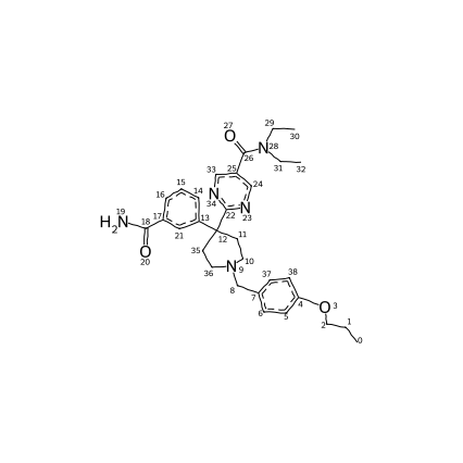 CCCOc1ccc(CN2CCC(c3cccc(C(N)=O)c3)(c3ncc(C(=O)N(CC)CC)cn3)CC2)cc1